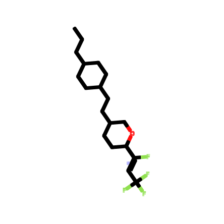 CCCC1CCC(CCC2CCC(/C(F)=C/C(F)(F)F)OC2)CC1